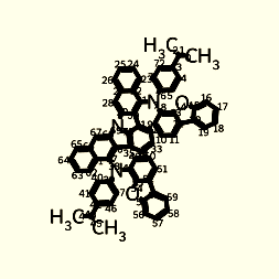 CC(C)c1ccc(N(c2cccc3c2oc2ccccc23)c2c3ccccc3cc3c2c2cccc4c5c(N(c6ccc(C(C)C)cc6)c6cccc7c6oc6ccccc67)c6ccccc6cc5n3c24)cc1